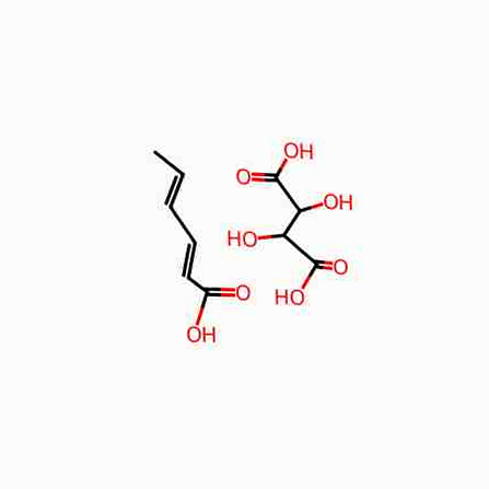 CC=CC=CC(=O)O.O=C(O)C(O)C(O)C(=O)O